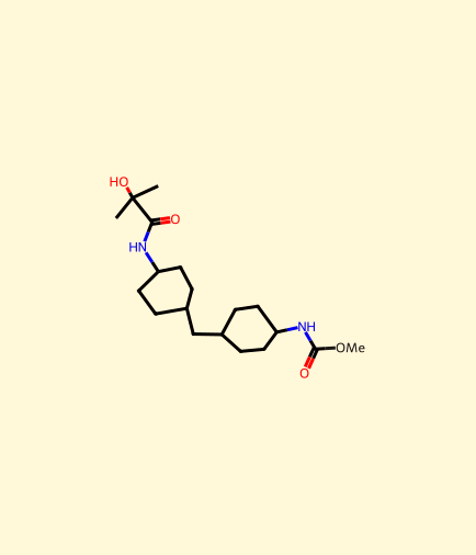 COC(=O)NC1CCC(CC2CCC(NC(=O)C(C)(C)O)CC2)CC1